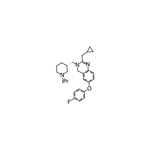 CC(C)N1CCC[C@H](CN2Cc3cc(Oc4ccc(F)cc4)ccc3N=C2CC2CC2)C1